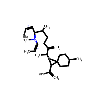 C=C(CCC(C)C(/C=C\C(C)CC)N(C)/C=C\C)C(C)B1C(C(=C)CCC)C12CCC(C)CC2